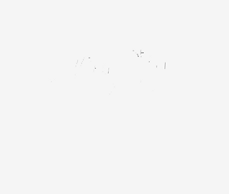 CC=CC(=O)O.NC1(O)C=CC=CC1O